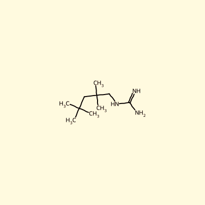 CC(C)(C)CC(C)(C)CNC(=N)N